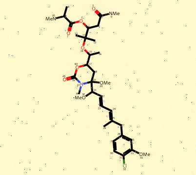 CNC(=O)CC(OC(=O)C(C)NC)C(C)(C)OC(C)C1CC(OC)(C(/C=C/C=C(\C)Cc2ccc(Cl)c(OC)c2)OC)N(C)C(=O)O1